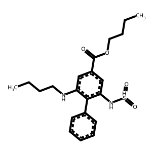 CCCCNc1cc(C(=O)OCCCC)cc(N[SH](=O)=O)c1-c1ccccc1